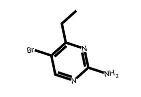 CCc1nc(N)ncc1Br